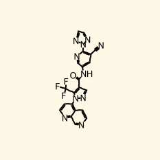 N#Cc1cc(NC(=O)c2cnn(-c3ccnc4cnccc34)c2C(F)(F)F)cnc1-n1nccn1